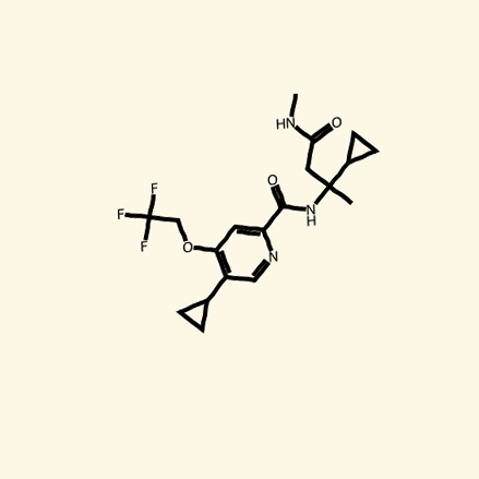 CNC(=O)CC(C)(NC(=O)c1cc(OCC(F)(F)F)c(C2CC2)cn1)C1CC1